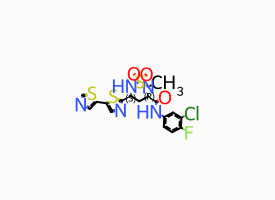 CN1[C@@H](C(=O)Nc2ccc(F)c(Cl)c2)C[C@@H](c2ncc(-c3cncs3)s2)NS1(=O)=O